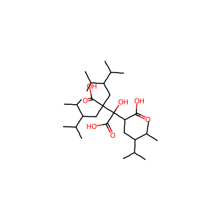 CC(C)C(CC(C(=O)O)C(O)(C(=O)O)C(CC(C(C)C)C(C)C)(CC(C(C)C)C(C)C)C(=O)O)C(C)C